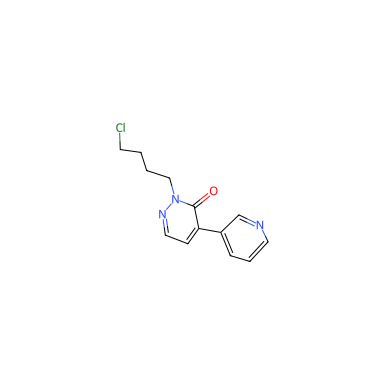 O=c1c(-c2cccnc2)ccnn1CCCCCl